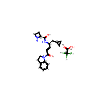 O=C(N[C@H](C=CC(=O)N1CCc2ccccc21)CC1CC1)[C@@H]1CCN1.O=C(O)C(F)(F)F